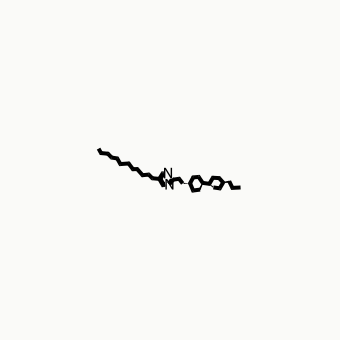 CCCCCCCCCCCCc1cnc(CC[C@H]2CC[C@H]([C@H]3CC[C@H](CCC)CC3)CC2)nc1